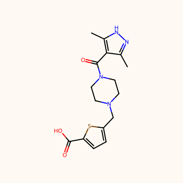 Cc1n[nH]c(C)c1C(=O)N1CCN(Cc2ccc(C(=O)O)s2)CC1